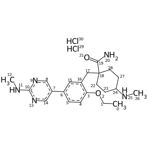 CCOc1ccc(-c2cnc(NC)nc2)cc1CC1(C(N)=O)CCC(NC)CC1.Cl.Cl